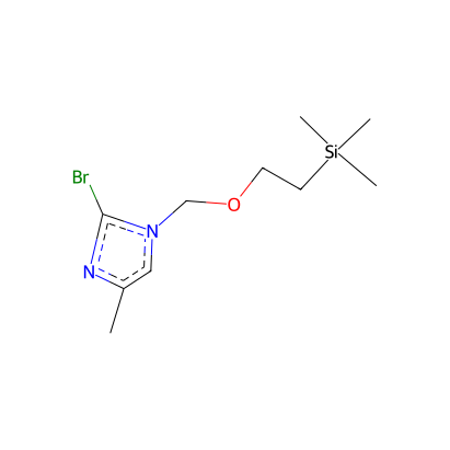 Cc1cn(COCC[Si](C)(C)C)c(Br)n1